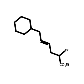 CCOC(=O)C(Br)CC=CCC1CCCCC1